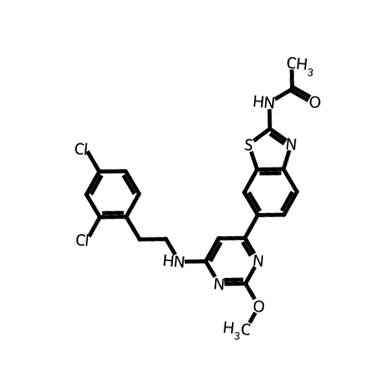 COc1nc(NCCc2ccc(Cl)cc2Cl)cc(-c2ccc3nc(NC(C)=O)sc3c2)n1